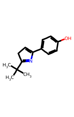 CC(C)(C)C1=NC(c2ccc(O)cc2)=CC1